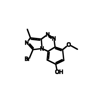 COc1cc(O)cc2c1nnc1c(C)nc(Br)n12